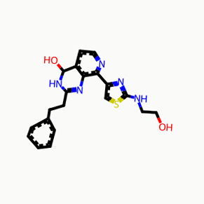 OCCNc1nc(-c2nccc3c2N=C(CCc2ccccc2)NC3O)cs1